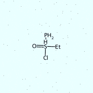 CC[SH](=O)(P)Cl